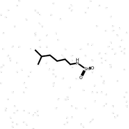 CC(C)CCCCN[SH](=O)=O